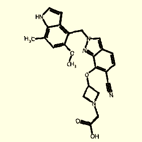 COc1cc(C)c2[nH]ccc2c1Cn1cc2ccc(C#N)c(OC3CN(CC(=O)O)C3)c2n1